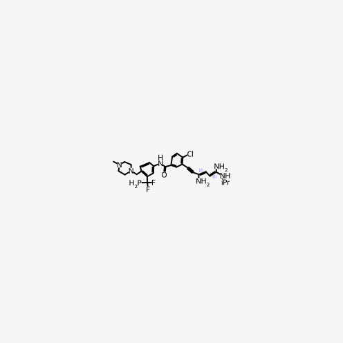 CC(C)N/C(N)=C/C=C(\N)C#Cc1cc(C(=O)Nc2ccc(CN3CCN(C)CC3)c(C(F)(F)P)c2)ccc1Cl